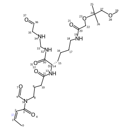 C/C=C\C(=O)N(C=O)CCCC(=O)N[C@@H](CCCCNC(=O)COC(C)(C)COC)C(=O)NCNCC=O